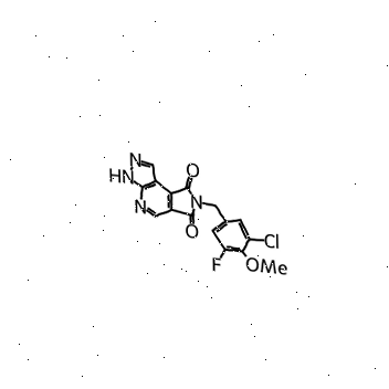 COc1c(F)cc(CN2C(=O)c3cnc4[nH]ncc4c3C2=O)cc1Cl